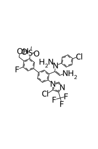 CS(=O)(=O)c1cc(-c2ccc(-n3cnc(C(F)(F)F)c3Cl)c(/C(=C/N)N(N)c3ccc(Cl)cc3)c2)cc(F)c1CO